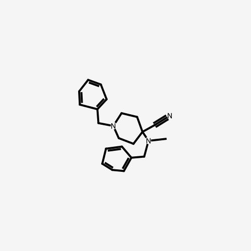 CN(Cc1ccccc1)C1(C#N)CCN(Cc2ccccc2)CC1